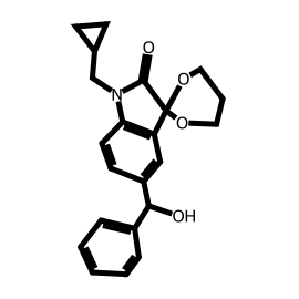 O=C1N(CC2CC2)c2ccc(C(O)c3ccccc3)cc2C12OCCCO2